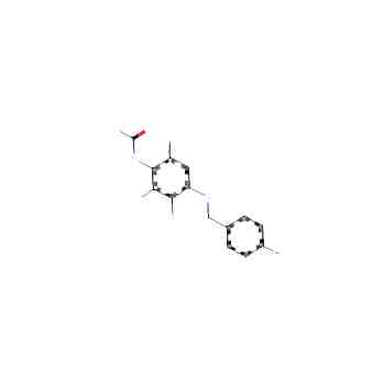 CC(=O)Nc1c(C)cc(NCc2ccc(F)cc2)c(F)c1C